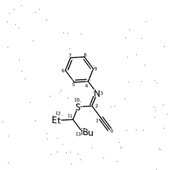 C#CC(=Nc1ccccc1)SC(CC)C(C)CC